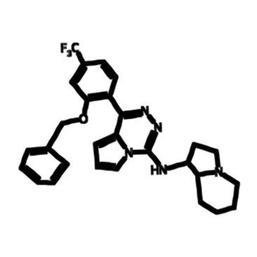 FC(F)(F)c1ccc(-c2nnc(NC3CCN4CCCCC34)n3cccc23)c(OCc2ccccc2)c1